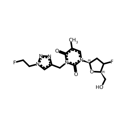 Cc1cn([C@H]2CC(F)[C@@H](CO)O2)c(=O)n(Cc2cn(CCF)nn2)c1=O